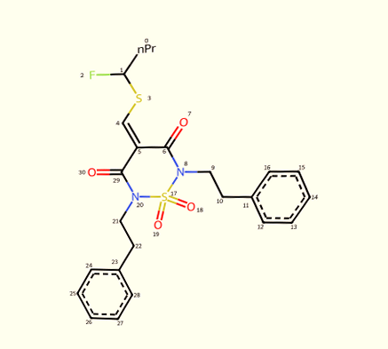 CCCC(F)SC=C1C(=O)N(CCc2ccccc2)S(=O)(=O)N(CCc2ccccc2)C1=O